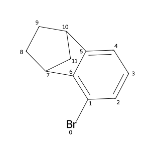 Brc1cccc2c1C1CCC2C1